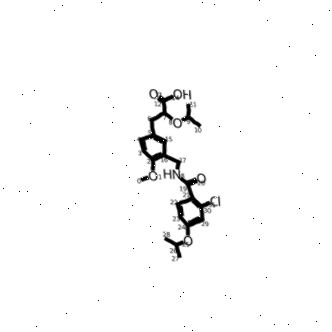 COc1ccc(CC(OC(C)C)C(=O)O)cc1CNC(=O)c1ccc(OC(C)C)cc1Cl